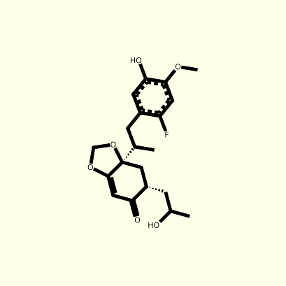 COc1cc(F)c(CC(C)[C@]23C[C@H](CC(C)O)C(=O)C=C2OCO3)cc1O